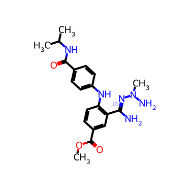 COC(=O)c1ccc(Nc2ccc(C(=O)NC(C)C)cc2)c(/C(N)=N/N(C)N)c1